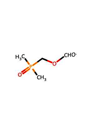 CP(C)(=O)CO[C]=O